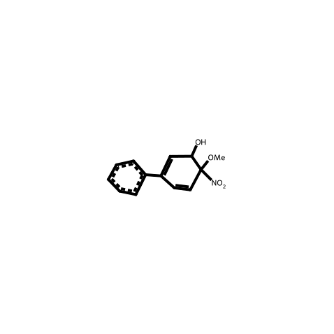 COC1([N+](=O)[O-])C=CC(c2ccccc2)=CC1O